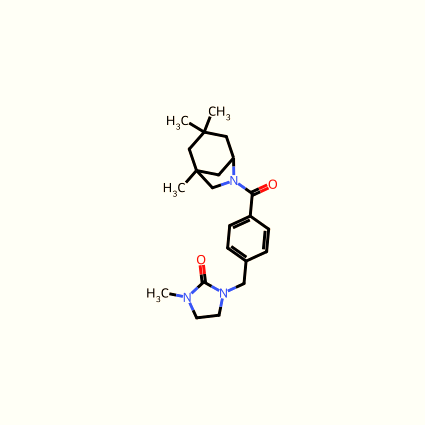 CN1CCN(Cc2ccc(C(=O)N3CC4(C)CC3CC(C)(C)C4)cc2)C1=O